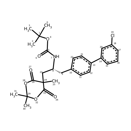 CC(C)(C)OC(=O)N[C@H](Cc1ccc(-c2cccc(Cl)c2)cc1)CC1(C)C(=O)OC(C)(C)OC1=O